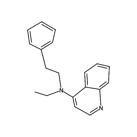 CCN(CCc1ccccc1)c1ccnc2ccccc12